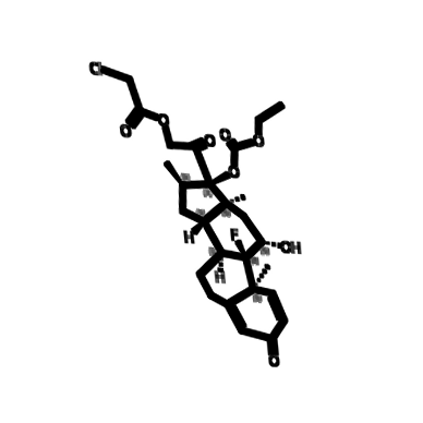 CCOC(=O)O[C@]1(C(=O)COC(=O)CCl)[C@H](C)C[C@H]2[C@@H]3CCC4=CC(=O)C=C[C@]4(C)[C@@]3(F)[C@@H](O)C[C@@]21C